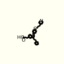 O=C(O)CCc1ccc2c(c1)c(CCc1ccccc1)cn2-c1ccc(OCCCc2ccncc2)cc1